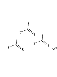 CC(=S)[S-].CC(=S)[S-].CC(=S)[S-].[Sb+3]